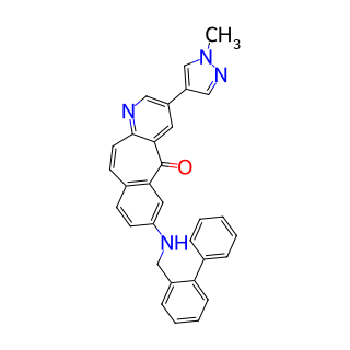 Cn1cc(-c2cnc3ccc4ccc(NCc5ccccc5-c5ccccc5)cc4c(=O)c3c2)cn1